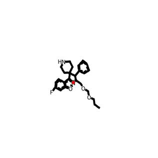 CCCOCOCC(=O)C(c1ccccc1)C1(c2noc3cc(F)ccc23)CCNCC1